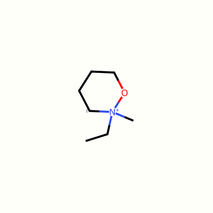 CC[N+]1(C)[C]CCCO1